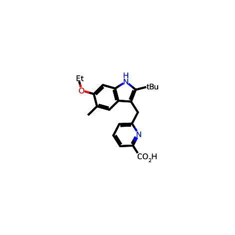 CCOc1cc2[nH]c(C(C)(C)C)c(Cc3cccc(C(=O)O)n3)c2cc1C